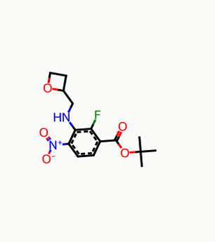 CC(C)(C)OC(=O)c1ccc([N+](=O)[O-])c(NCC2CCO2)c1F